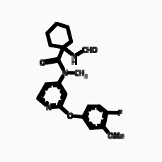 COc1cc(Oc2cc(N(C)C(=O)C3(NC=O)CCCCC3)ccn2)ccc1F